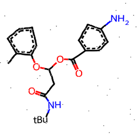 Cc1ccccc1OC(CC(=O)NC(C)(C)C)OC(=O)c1ccc(N)cc1